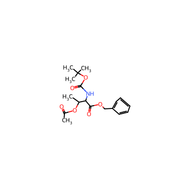 CC(=O)OC(C)C(NC(=O)OC(C)(C)C)C(=O)OCc1ccccc1